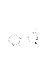 Cc1cc(Cl)nc(-c2ccccc2C(F)(F)F)n1